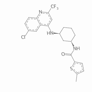 Cc1ccc(C(=O)N[C@@H]2CCC[C@H](Nc3cc(C(F)(F)F)nc4ccc(Cl)cc34)C2)s1